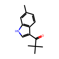 Cc1ccc2c(C(=O)C(C)(C)C)c[nH]c2c1